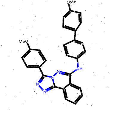 COc1ccc(-c2ccc(Nc3nn4c(-c5ccc(OC)cc5)nnc4c4ccccc34)cc2)cc1